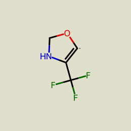 FC(F)(F)C1=[C]OCN1